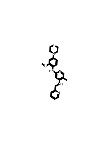 COc1cc(N2CCOCC2)ccc1Nc1cc(NCc2ccccn2)c(C)cn1